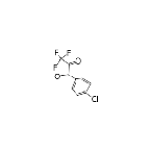 O=C(C(=O)C(F)(F)F)c1ccc(Cl)cc1